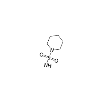 [NH]S(=O)(=O)N1CCCCC1